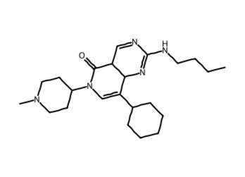 CCCCNC1=NC2C(C3CCCCC3)=CN(C3CCN(C)CC3)C(=O)C2C=N1